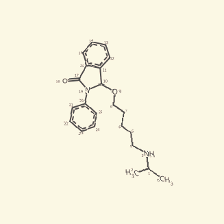 CC(C)NCCCCCOC1c2ccccc2C(=O)N1c1ccccc1